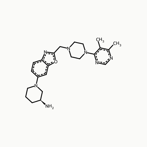 Cc1ncnc(N2CCN(Cc3nc4ccc(N5CCC[C@H](N)C5)cc4o3)CC2)c1C